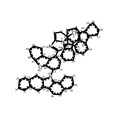 CC1C/C=C(n2c3ccccc3c3ccccc32)/N=C(c2ccc(-n3c4cc5ccccc5cc4c4ccc5ccccc5c43)c3oc4ccccc4c23)\N=C/1c1cccc2c1sc1ccccc12